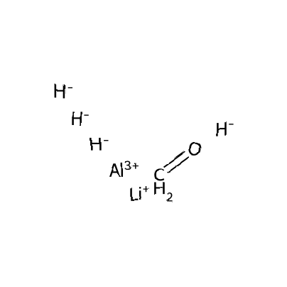 C=O.[Al+3].[H-].[H-].[H-].[H-].[Li+]